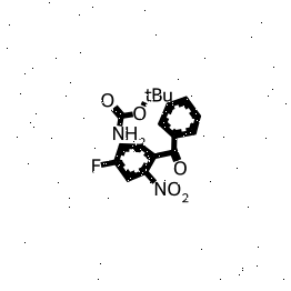 CC(C)(C)OC(N)=O.O=C(c1ccccc1)c1ccc(F)cc1[N+](=O)[O-]